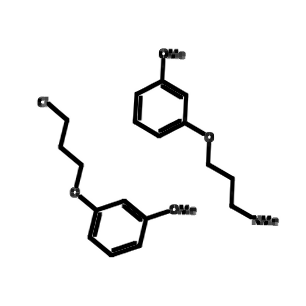 CNCCCOc1cccc(OC)c1.COc1cccc(OCCCCl)c1